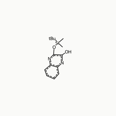 CC(C)(C)[Si](C)(C)Oc1nc2ccccc2nc1O